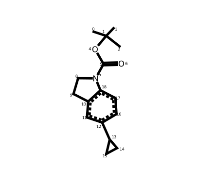 CC(C)(C)OC(=O)N1CCc2cc(C3CC3)ccc21